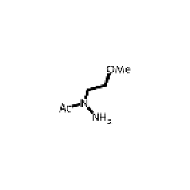 COCCN(N)C(C)=O